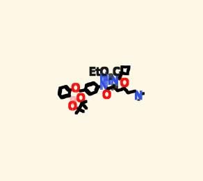 CCOC(=O)C1(C(=O)N[C@@H](CCCCN(C)C)C(=O)Nc2ccc(COc3ccccc3B3OC(C)(C)C(C)(C)O3)cc2)CCC1